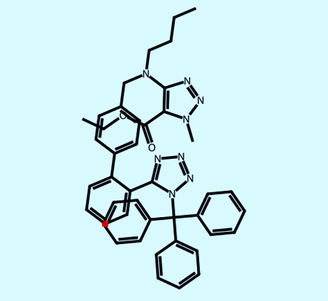 CCCCN(Cc1ccc(-c2ccccc2-c2nnnn2C(c2ccccc2)(c2ccccc2)c2ccccc2)cc1)c1nnn(C)c1C(=O)OCC